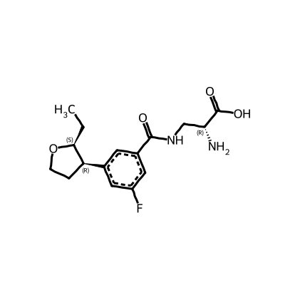 CC[C@@H]1OCC[C@@H]1c1cc(F)cc(C(=O)NC[C@@H](N)C(=O)O)c1